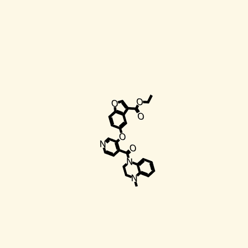 CCOC(=O)c1coc2ccc(Oc3cnccc3C(=O)N3CCN(C)c4ccccc43)cc12